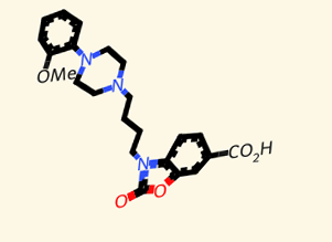 COc1ccccc1N1CCN(CCCCn2c(=O)oc3cc(C(=O)O)ccc32)CC1